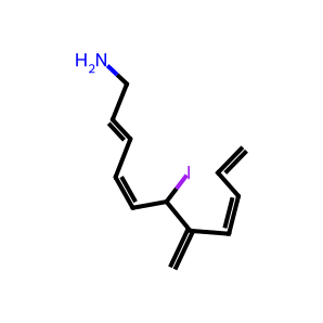 C=C/C=C\C(=C)C(I)/C=C\C=CCN